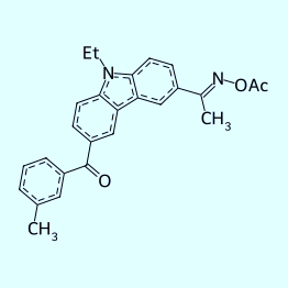 CCn1c2ccc(C(=O)c3cccc(C)c3)cc2c2cc(/C(C)=N/OC(C)=O)ccc21